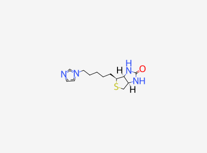 O=C1N[C@H]2[C@H](CS[C@H]2CCCCCn2ccnc2)N1